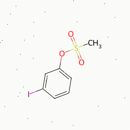 CS(=O)(=O)Oc1cccc(I)c1